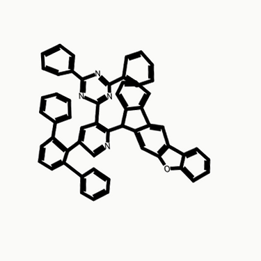 c1ccc(-c2nc(-c3ccccc3)nc(-c3cc(-c4c(-c5ccccc5)cccc4-c4ccccc4)cnc3C3c4ccccc4-c4cc5c(cc43)oc3ccccc35)n2)cc1